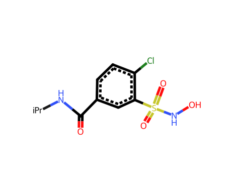 CC(C)NC(=O)c1ccc(Cl)c(S(=O)(=O)NO)c1